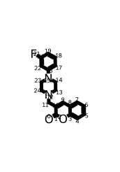 O=c1oc2ccccc2cc1CN1CCN(c2cccc(F)c2)CC1